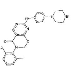 Cc1cccc(Cl)c1N1COc2nc(Nc3ccc(N4CCNCC4)cc3)ncc2C1=O